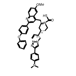 C=C[C@@H](Cn1cc(-c2ccc(N(C)C)cc2)nn1)[C@H]1CCN(C(=O)S)[C@H](Cc2cc(-c3ccc(Oc4ccccc4)cc3)nc3ccc(OC)cc23)C1